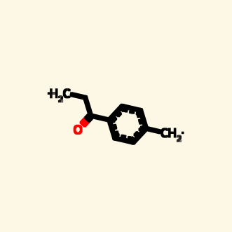 [CH2]CC(=O)c1ccc([CH2])cc1